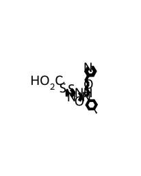 C[C@H]1CC[C@H](N(CCOCc2cccnc2)C(=O)Nc2ncc(SCC(=O)O)s2)CC1